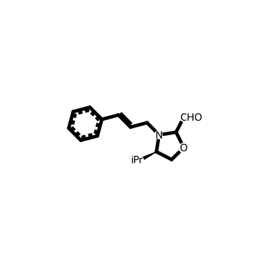 CC(C)[C@@H]1COC(C=O)N1C/C=C/c1ccccc1